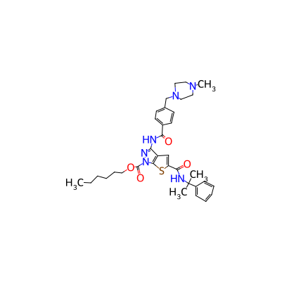 CCCCCCOC(=O)n1nc(NC(=O)c2ccc(CN3CCN(C)CC3)cc2)c2cc(C(=O)NC(C)(C)c3ccccc3)sc21